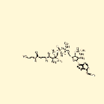 CC(C)(COP(=O)(O)OP(=O)(O)OC[C@H]1O[C@@H](n2cnc3c(N=C=O)ncnc32)[C@H](O)[C@@H]1OP(=O)(O)O)[C@@H](O)C(=O)NCCC(=O)NCCS.[Co]